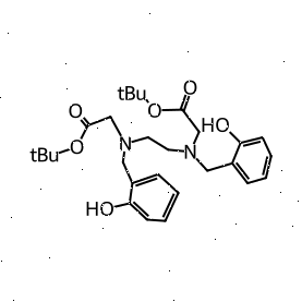 CC(C)(C)OC(=O)CN(CCN(CC(=O)OC(C)(C)C)Cc1ccccc1O)Cc1ccccc1O